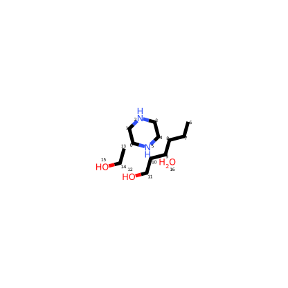 C1CNCCN1.CCCCCCO.CCO.O